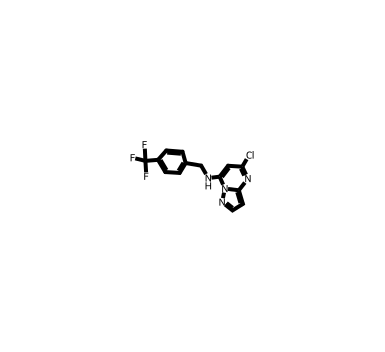 FC(F)(F)c1ccc(CNc2cc(Cl)nc3ccnn23)cc1